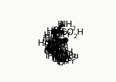 CC[C@H](C)[C@H](N)C(=O)N[C@@H](CC(C)C)C(=O)N[C@H](C(=O)N[C@H](C(=O)N[C@@H](CC(N)=O)C(=O)N[C@@H](CC(C)C)C(=O)N[C@@H](C)C(=O)N[C@@H](CC(C)C)C(=O)N[C@H](C(=O)N[C@H](C(=O)N[C@@H](Cc1c[nH]c2ccccc12)C(=O)N[C@H](C(=O)N[C@@H](CC(C)C)C(=O)N[C@@H](CCCCN)C(=O)N[C@H](C(=O)O)C(C)C)[C@@H](C)CC)[C@@H](C)CC)[C@@H](C)O)C(C)C)C(C)C